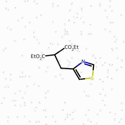 CCOC(=O)C(Cc1cscn1)C(=O)OCC